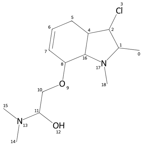 CC1C(Cl)C2CC=CC(OCC(O)N(C)C)C2N1C